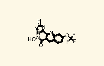 O=C(NO)c1cc2ccc(OC(F)(F)F)cc2nc1-c1nn[nH]n1